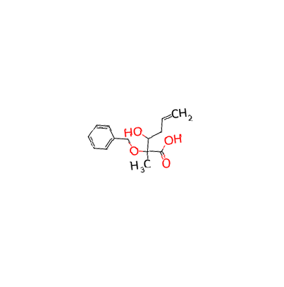 C=CCC(O)C(C)(OCc1ccccc1)C(=O)O